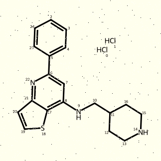 Cl.Cl.c1ccc(-c2cc(NCC3CCNCC3)c3sccc3n2)cc1